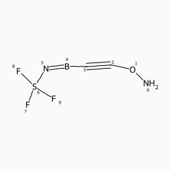 NOC#C/B=N/S(F)(F)F